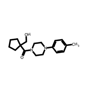 Cc1ccc(N2CCN(C(=O)C3(CO)CCCC3)CC2)cc1